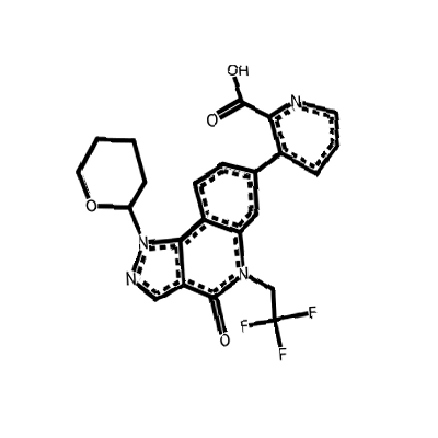 O=C(O)c1ncccc1-c1ccc2c3c(cnn3C3CCCCO3)c(=O)n(CC(F)(F)F)c2c1